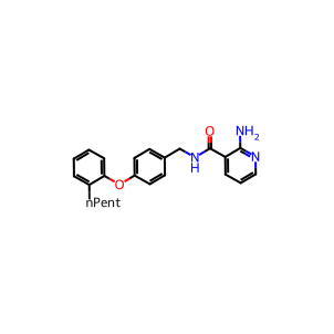 CCCCCc1ccccc1Oc1ccc(CNC(=O)c2cccnc2N)cc1